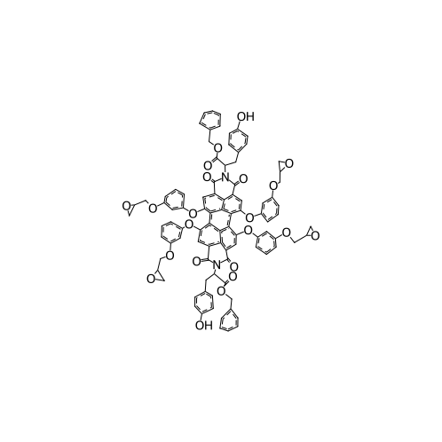 O=C(OCc1ccccc1)C(Cc1ccc(O)cc1)N1C(=O)c2cc(Oc3cccc(OCC4CO4)c3)c3c4c(Oc5cccc(OCC6CO6)c5)cc5c6c(cc(Oc7cccc(OCC8CO8)c7)c(c7c(Oc8cccc(OCC9CO9)c8)cc(c2c37)C1=O)c64)C(=O)N(C(Cc1ccc(O)cc1)C(=O)OCc1ccccc1)C5=O